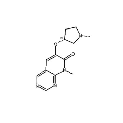 CN1CC[C@@H](Oc2cc3cncnc3n(C)c2=O)C1